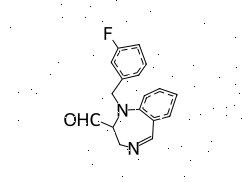 O=CC1CN=Cc2ccccc2N1Cc1cccc(F)c1